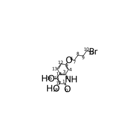 O=c1[nH]c2cc(OCCCCBr)ccc2c(O)c1O